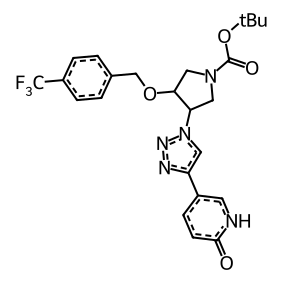 CC(C)(C)OC(=O)N1CC(OCc2ccc(C(F)(F)F)cc2)C(n2cc(-c3ccc(=O)[nH]c3)nn2)C1